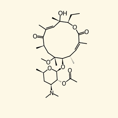 CC[C@H]1OC(=O)/C(C)=C\[C@H](C)[C@@H](O[C@@H]2O[C@H](C)C[C@H](N(C)C)[C@H]2OC(C)=O)[C@](C)(OC)C[C@@H](C)C(=O)/C(C)=C/[C@]1(C)O